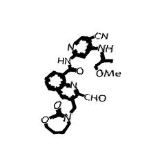 COCC(C)Nc1cc(NC(=O)c2cccc3cc(CN4CCCCOC4=O)c(C=O)nc23)ncc1C#N